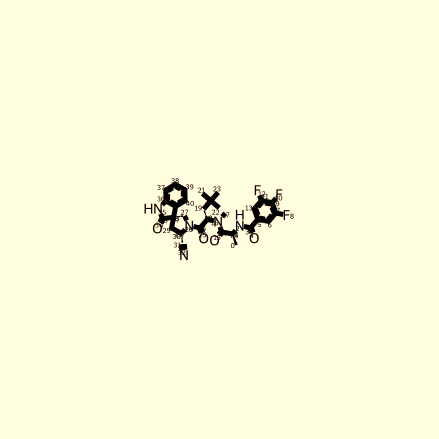 C[C@H](NC(=O)c1cc(F)c(F)c(F)c1)C(=O)N(C)[C@@H](CC(C)(C)C)C(=O)N1C[C@]2(C[C@H]1C#N)C(=O)Nc1ccccc12